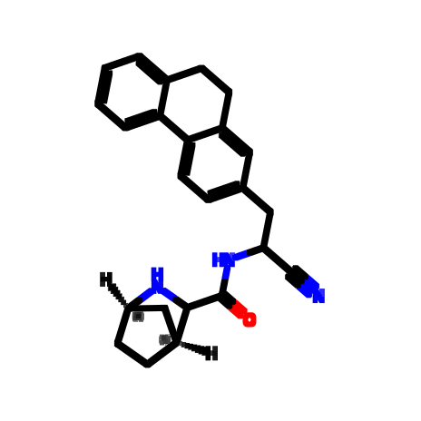 N#CC(Cc1ccc2c(c1)CCc1ccccc1-2)NC(=O)C1N[C@@H]2CC[C@H]1C2